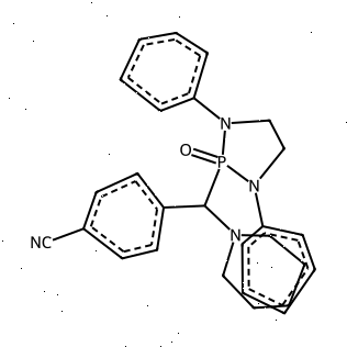 N#Cc1ccc(C(N2CCCCC2)P2(=O)N(c3ccccc3)CCN2c2ccccc2)cc1